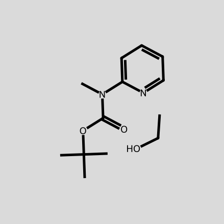 CCO.CN(C(=O)OC(C)(C)C)c1ccccn1